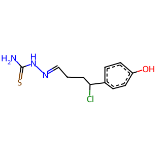 NC(=S)NN=CCCC(Cl)c1ccc(O)cc1